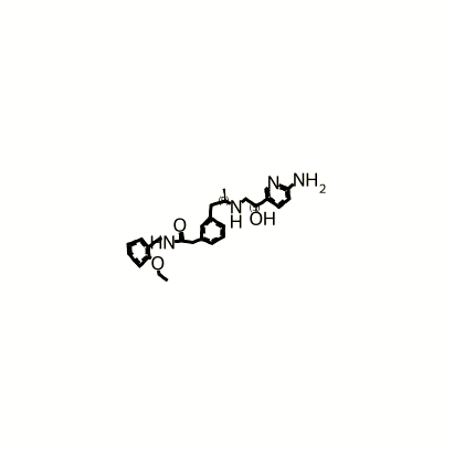 CCOc1ccccc1CNC(=O)Cc1cccc(C[C@@H](C)NC[C@@H](O)c2ccc(N)nc2)c1